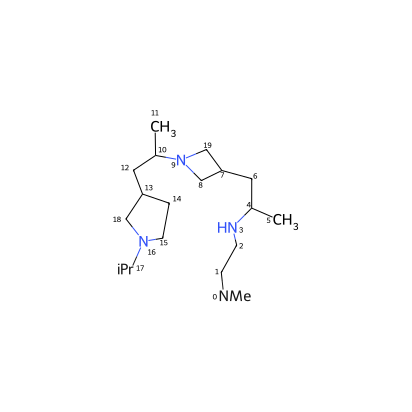 CNCCNC(C)CC1CN(C(C)CC2CCN(C(C)C)C2)C1